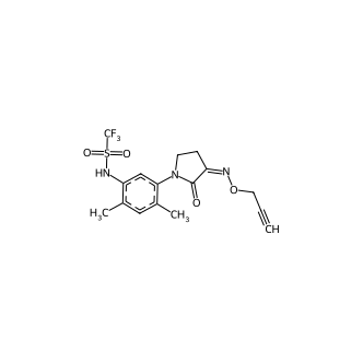 C#CCON=C1CCN(c2cc(NS(=O)(=O)C(F)(F)F)c(C)cc2C)C1=O